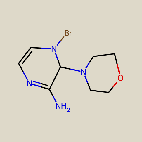 NC1=NC=CN(Br)C1N1CCOCC1